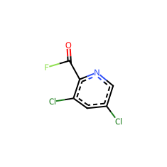 O=C(F)c1ncc(Cl)cc1Cl